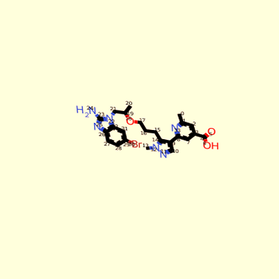 Cc1cc(C(=O)O)cc(-c2cnn(C)c2CCCOC(C)Cn2c(N)nc3ccc(Br)cc32)n1